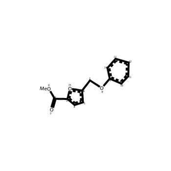 COC(=O)c1ccc(COc2cc[c]cc2)o1